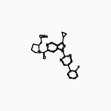 COC[C@@H]1CCCN1C(=O)c1cc2c(cn1)c(C1CC1)nn2-c1ncc(-c2ccccc2F)cn1